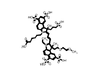 CCN1c2ccc3c(S(=O)(=O)O)cc(S(=O)(=O)O)cc3c2C(C)(CCOCCOC)C1C=CC=C1N(CCCCCC(=O)O)c2ccc3c(S(=O)(=O)O)cc(S(=O)(=O)O)cc3c2C1(C)CCCS(=O)(=O)O